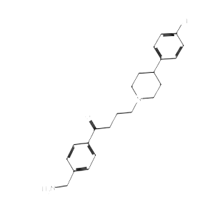 NCc1ccc(C(=O)CCCN2CCC(c3ccc(Cl)cc3)CC2)cc1